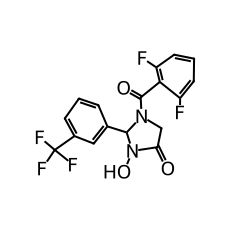 O=C1CN(C(=O)c2c(F)cccc2F)C(c2cccc(C(F)(F)F)c2)N1O